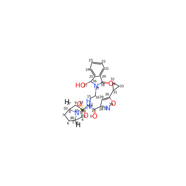 O=C(N[C@H]1C[C@H]2CC[C@@H](C1)N2S(=O)(=O)CCCN1C(=O)c2ccccc2C1O)c1cc(C2CC2)on1